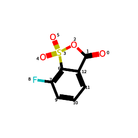 O=C1OS(=O)(=O)c2c(F)cccc21